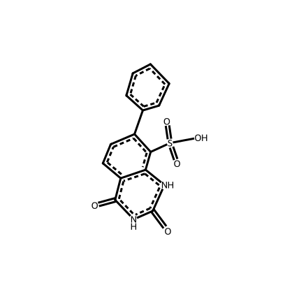 O=c1[nH]c(=O)c2ccc(-c3ccccc3)c(S(=O)(=O)O)c2[nH]1